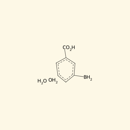 Bc1cccc(C(=O)O)c1.O.O